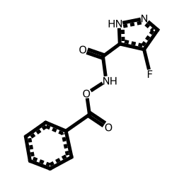 O=C(ONC(=O)c1[nH]ncc1F)c1ccccc1